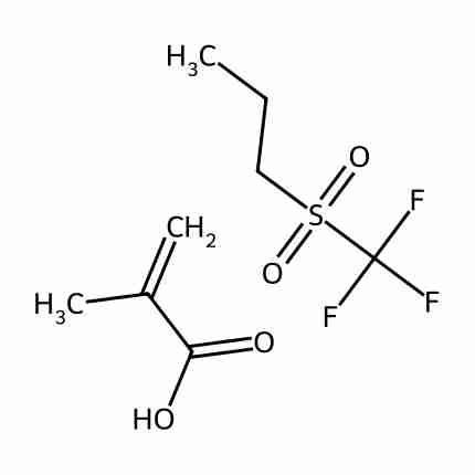 C=C(C)C(=O)O.CCCS(=O)(=O)C(F)(F)F